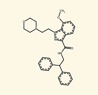 COc1cccc2c(C(=O)NCC(c3ccccc3)c3ccccc3)nn(CCN3CCOCC3)c12